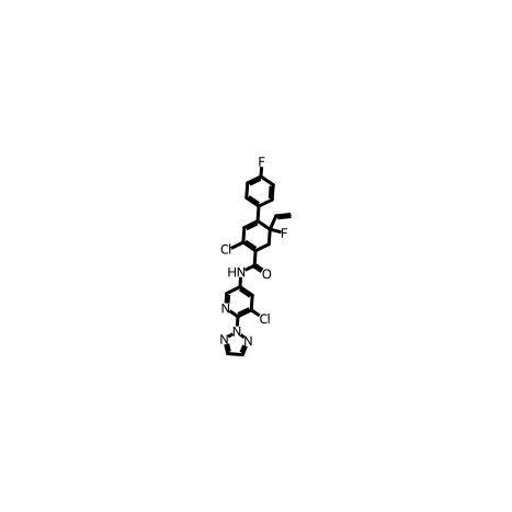 C=CC1(F)CC(C(=O)Nc2cnc(-n3nccn3)c(Cl)c2)=C(Cl)C=C1c1ccc(F)cc1